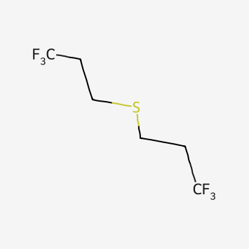 FC(F)(F)CCSCCC(F)(F)F